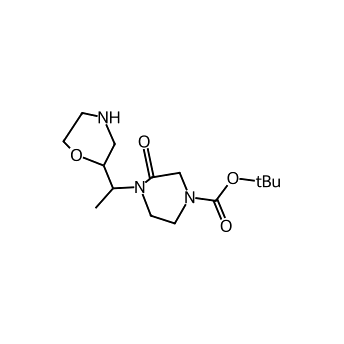 CC(C1CNCCO1)N1CCN(C(=O)OC(C)(C)C)CC1=O